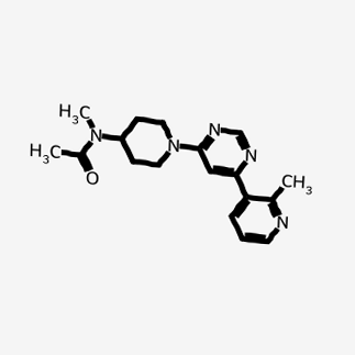 CC(=O)N(C)C1CCN(c2cc(-c3cccnc3C)ncn2)CC1